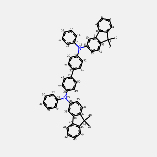 CC1(C)c2ccccc2-c2cc(N(c3ccccc3)c3ccc(-c4ccc(N(c5ccccc5)c5ccc6c(c5)-c5ccccc5C6(C)C)cc4)cc3)ccc21